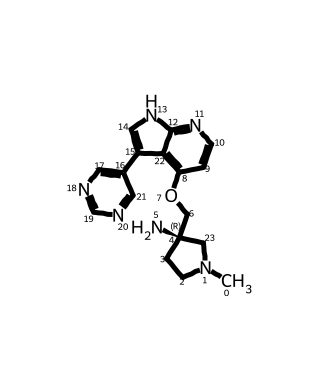 CN1CC[C@](N)(COc2ccnc3[nH]cc(-c4cncnc4)c23)C1